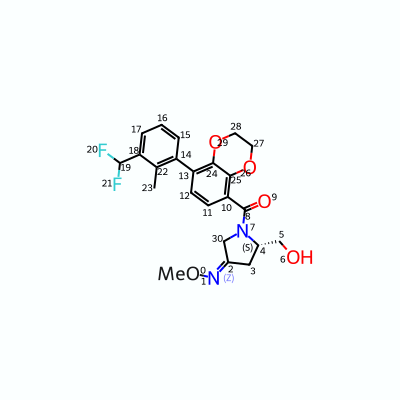 CO/N=C1/C[C@@H](CO)N(C(=O)c2ccc(-c3cccc(C(F)F)c3C)c3c2OCCO3)C1